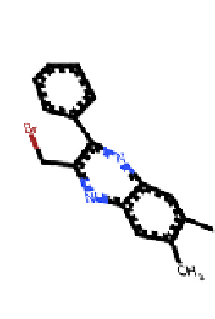 Cc1cc2nc(CBr)c(-c3ccccc3)nc2cc1C